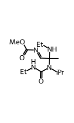 CCNC(=O)N(C(C)C)C(C)(C=NC(=O)OC)NCC